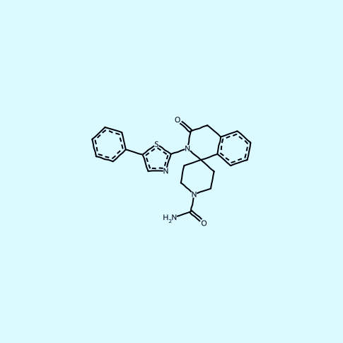 NC(=O)N1CCC2(CC1)c1ccccc1CC(=O)N2c1ncc(-c2ccccc2)s1